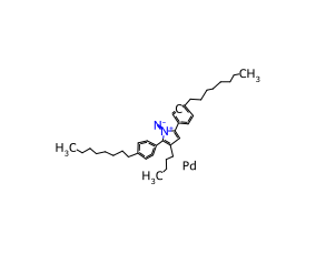 CCCCCCCCc1ccc(C2=CC(CCCC)=C(c3ccc(CCCCCCCC)cc3)[N+]2=[N-])cc1.[Pd]